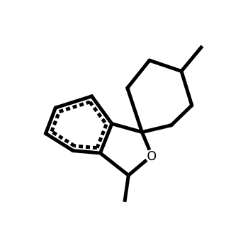 CC1CCC2(CC1)OC(C)c1ccccc12